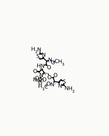 CO/N=C(\C(=O)N[C@H]1C(=O)N(S(=O)(=O)[O-])[C@H]1COC(=O)/C(=N\OC)c1csc(N)n1)c1csc(N)n1.[Na+]